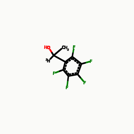 [2H]C(C)(O)c1c(F)c(F)c(F)c(F)c1F